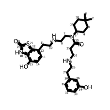 CC1(C)CCC(N(CCNCCc2ccc(O)c3[nH]c(=O)sc23)C(=O)CCNCCc2cccc(O)c2)CC1